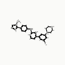 Cn1cnnc1-c1ccc(Nc2nccc(-c3cc(F)cc(N4CCOCC4)c3)n2)cc1